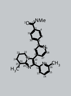 CNC(=O)c1ccc(-c2cc(-c3c(-c4cccc(C)n4)nc4n3CCC[C@@H]4C)ccn2)cc1